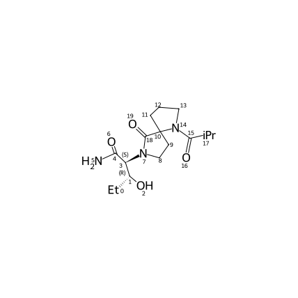 CC[C@@H](O)[C@@H](C(N)=O)N1CCC2(CCCN2C(=O)C(C)C)C1=O